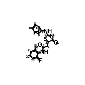 O=C(CC1SC(NC2CC3C=CC2C3)=NC1=O)Nc1c(F)cccc1F